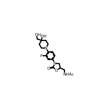 CC(=O)NCC1CN(c2ccc(N3CCC(O)(CO)CC3)c(F)c2)C(=O)O1